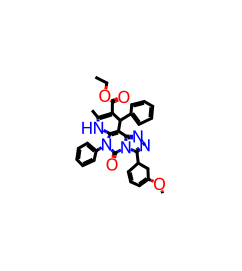 CCOC(=O)C1=C(C)Nc2c(c3nnc(C4C=CC=C(OC)C4)n3c(=O)n2-c2ccccc2)C1c1ccccc1